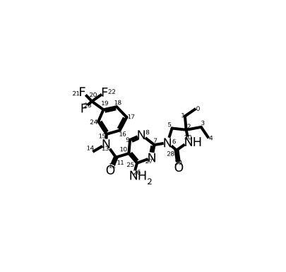 CCC1(CC)CN(c2ncc(C(=O)N(C)c3cccc(C(F)(F)F)c3)c(N)n2)C(=O)N1